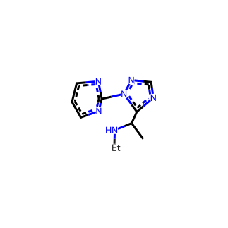 CCNC(C)c1ncnn1-c1ncccn1